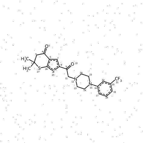 CC1(C)CC(=O)c2cc(C(=O)CN3CCN(c4cccc(C(F)(F)F)c4)CC3)sc2S1